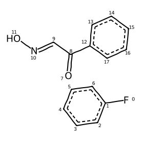 Fc1ccccc1.O=C(C=NO)c1ccccc1